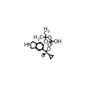 CC(C)(C)OC(=O)O.O=S(=O)(c1ccc2c(c1)CNC2)C1CC1